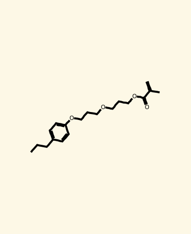 C=C(C)C(=O)OCCCOCCCOc1ccc(CCC)cc1